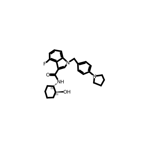 O=C(N[C@H]1CCCC[C@@H]1O)c1cn(Cc2ccc(N3CCCC3)cc2)c2cccc(F)c12